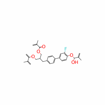 C=C(C)C(=C)OCC(COC(=O)C(=C)C)Cc1ccc(-c2ccc(OC(O)C(=C)C)c(F)c2)cc1